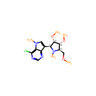 POC[C@@H]1[C@@H](OP)[C@@H](OP)[C@H](c2cn(P)c3c(Cl)ncnc23)N1P